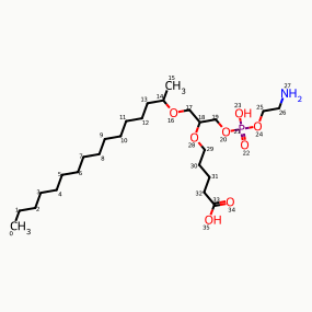 CCCCCCCCCCCCCCC(C)OCC(COP(=O)(O)OCCN)OCCCCC(=O)O